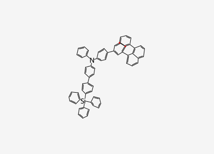 c1ccc(-c2cccc3cccc(-c4cccc(-c5ccc(N(c6ccccc6)c6ccc(-c7ccc([Si](c8ccccc8)(c8ccccc8)c8ccccc8)cc7)cc6)cc5)c4)c23)cc1